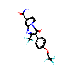 NC(=O)c1ccn2c(=O)c(-c3ccc(OCC(F)(F)F)cc3)c(C(F)(F)F)nc2c1